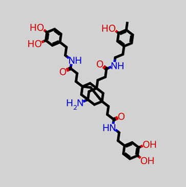 Cc1ccc(CCNC(=O)CCC23CC4(N)CC(CCC(=O)NCCc5ccc(O)c(O)c5)(C2)CC(CCC(=O)NCCc2ccc(O)c(O)c2)(C4)C3)cc1O